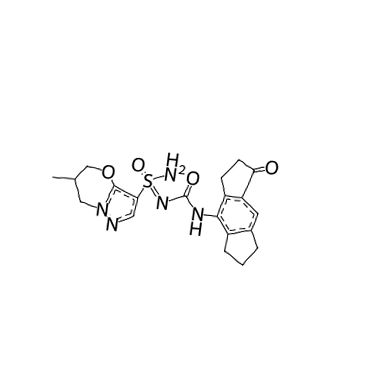 CC1COc2c(S(N)(=O)=NC(=O)Nc3c4c(cc5c3CCC5=O)CCC4)cnn2C1